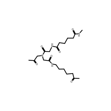 CNC(=O)CCCCC(=O)NCC(=O)N(CC(C)=O)CC(=O)NCCCCCC(C)=O